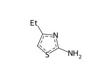 [CH2]Cc1csc(N)n1